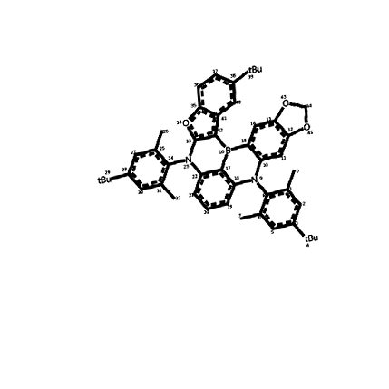 Cc1cc(C(C)(C)C)cc(C)c1N1c2cc3c(cc2B2c4c1cccc4N(c1c(C)cc(C(C)(C)C)cc1C)c1oc4ccc(C(C)(C)C)cc4c12)OCO3